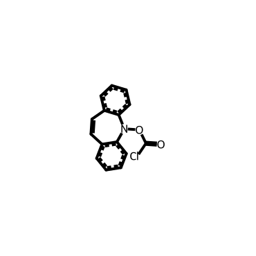 O=C(Cl)ON1c2ccccc2C=Cc2ccccc21